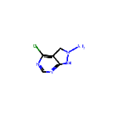 NN1Cc2c(Cl)ncnc2N1